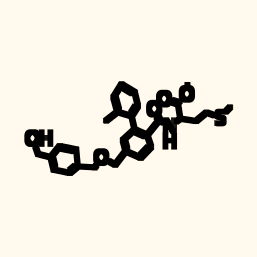 COC(=O)C(CCSC)NC(=O)c1ccc(COCc2ccc(CO)cc2)cc1-c1ccccc1C